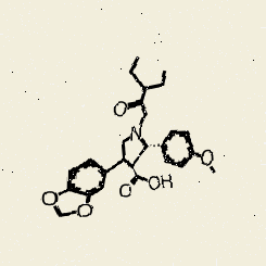 CCC(CC)C(=O)CN1CC(c2ccc3c(c2)OCO3)[C@H](C(=O)O)[C@H]1c1ccc(OC)cc1